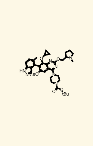 COc1cc2c(N3CCN(C(=O)OC(C)(C)C)CC3)nc(OCC3CCCN3C)nc2c(OC2CC2)c1-c1c(C)ccc2[nH]ncc12